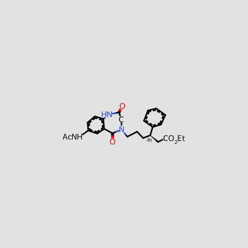 CCOC(=O)C[C@@H](CCCN1CC(=O)Nc2ccc(NC(C)=O)cc2C1=O)c1ccccc1